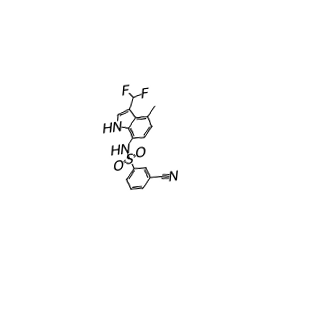 Cc1ccc(NS(=O)(=O)c2cccc(C#N)c2)c2[nH]cc(C(F)F)c12